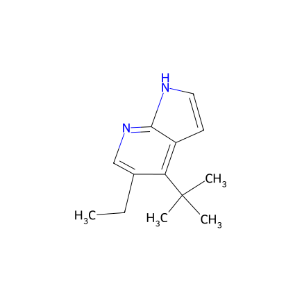 CCc1cnc2[nH]ccc2c1C(C)(C)C